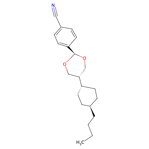 CCCC[C@H]1CC[C@H]([C@H]2CO[C@H](c3ccc(C#N)cc3)OC2)CC1